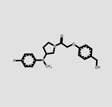 CN(c1ccc(F)cc1)C1CCN(C(=O)COc2ccc(CO)cc2)C1